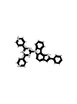 c1ccc(-c2cc3ccc4c(c5ccccc5n4-c4nc(-c5ccncc5)nc(-c5ccncc5)n4)c3s2)cc1